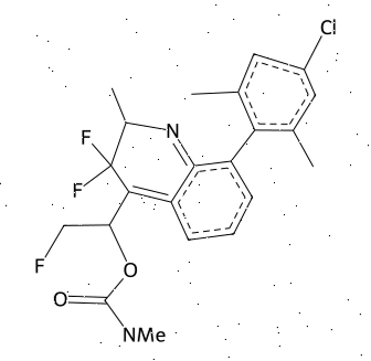 CNC(=O)OC(CF)C1=c2cccc(-c3c(C)cc(Cl)cc3C)c2=NC(C)C1(F)F